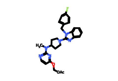 CC(=O)OCOc1ccnc(N(C)C2CCN(c3nc4ccccc4n3Cc3ccc(F)cc3)CC2)n1